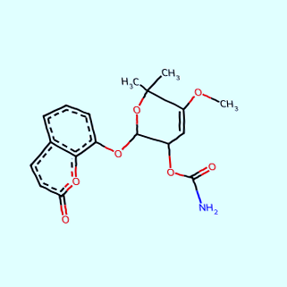 COC1=CC(OC(N)=O)C(Oc2cccc3ccc(=O)oc23)OC1(C)C